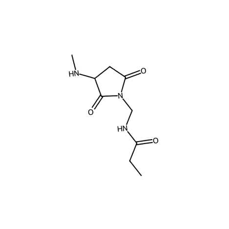 CCC(=O)NCN1C(=O)CC(NC)C1=O